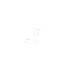 CC(C)n1c(N2CC[C@H](F)C2)nc2c(F)cc(-c3nc(N[C@@H]4C[C@H]5CO[C@H](O5)[C@H]4O)ncc3Cl)cc21